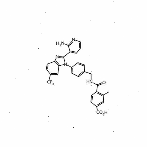 Cc1cc(C(=O)O)ccc1C(=O)NCc1ccc(-n2c(-c3cccnc3N)nc3ccc(C(F)(F)F)cc32)cc1